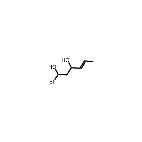 CC=CC(O)CC(O)CC